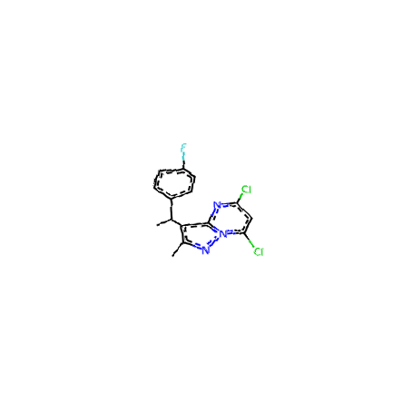 Cc1nn2c(Cl)cc(Cl)nc2c1C(C)c1ccc(F)cc1